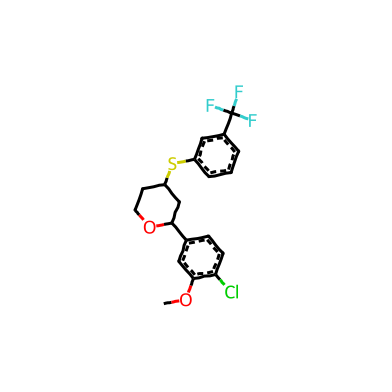 COc1cc(C2CC(Sc3cccc(C(F)(F)F)c3)CCO2)ccc1Cl